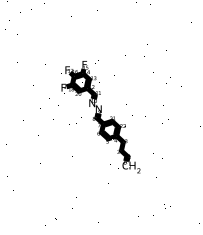 C=CCCc1ccc(C=NN=Cc2cc(F)c(F)c(F)c2)cc1